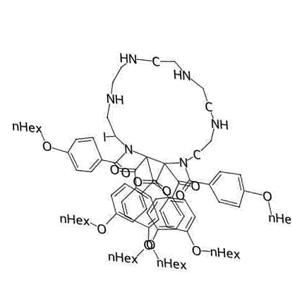 CCCCCCOc1ccc(C(=O)N2CCNCCNCCNCCNCC(I)N(C(=O)c3ccc(OCCCCCC)cc3)C(C(=O)c3ccc(OCCCCCC)cc3)(C(=O)c3ccc(OCCCCCC)cc3)C2(C(=O)c2ccc(OCCCCCC)cc2)C(=O)c2ccc(OCCCCCC)cc2)cc1